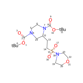 CC(C)(C)OC(=O)N1CCN(C(=O)OC(C)(C)C)C(CCS(=O)(=O)N2CCOCC2)C1